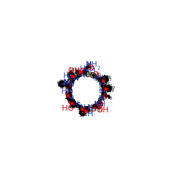 CCCC[C@H]1C(=O)N(C)CC(=O)N[C@@H](CC(=O)O)C(=O)N[C@@H](C(C)C)C(=O)N(C)[C@@H](Cc2ccccc2)CN2C[C@H](O)C[C@H]2C(=O)N2CCC[C@@H]2C(=O)N[C@@H](Cc2c[nH]c3ccccc23)C(=O)N[C@@H](Cc2ccc(O)cc2)C(=O)N[C@@H](CC(C)C)C(=O)N[C@H](C(=O)NCC(N)=O)CSCC(=O)N[C@@H](Cc2ccccc2)C(=O)N(C)[C@@H](Cc2ccccc2)C(=O)N1C